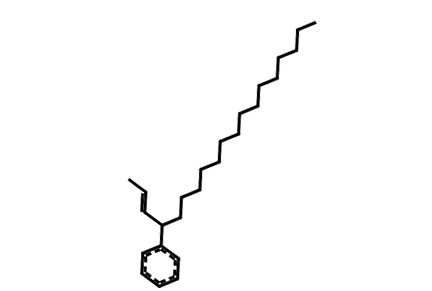 CC=CC(CCCCCCCCCCCCCCC)c1ccccc1